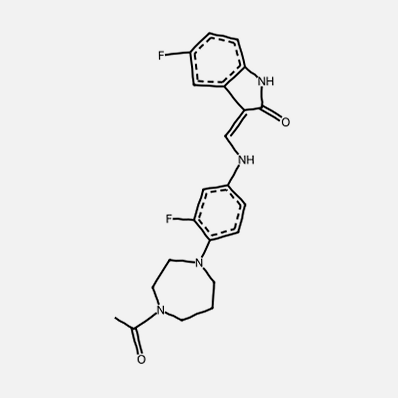 CC(=O)N1CCCN(c2ccc(N/C=C3\C(=O)Nc4ccc(F)cc43)cc2F)CC1